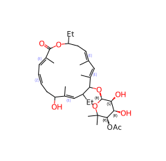 CCC1C/C=C(C)/C=C(\C)C(O[C@@H]2OC(C)(C)[C@H](OC(C)=O)[C@H](O)[C@@H]2O)C(CC)/C=C(\C)C(O)C/C=C\C=C(/C)C(=O)O1